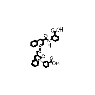 O=C(O)c1cccc(NC(=O)C(CSSCC(Cc2ccccc2)C(=O)Nc2cccc(C(=O)O)c2)Cc2ccccc2)c1